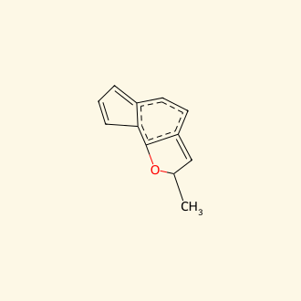 CC1C=c2ccc3c(c2O1)C=CC=3